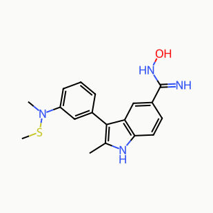 CSN(C)c1cccc(-c2c(C)[nH]c3ccc(C(=N)NO)cc23)c1